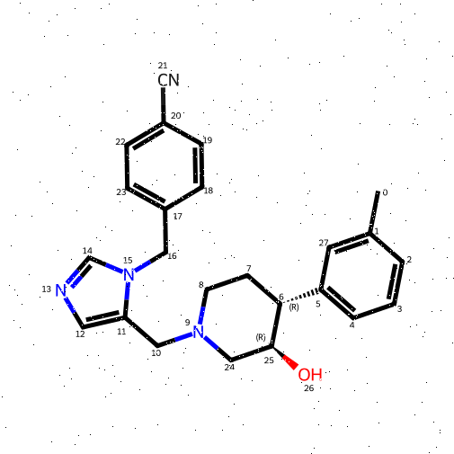 Cc1cccc([C@H]2CCN(Cc3cncn3Cc3ccc(C#N)cc3)C[C@@H]2O)c1